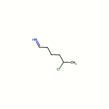 CC(Cl)CCCC=N